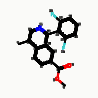 COC(=O)c1ccc2c(C)cnc(-c3c(F)cccc3F)c2c1